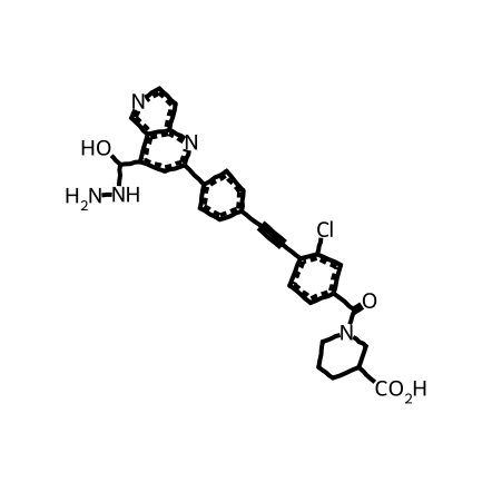 NNC(O)c1cc(-c2ccc(C#Cc3ccc(C(=O)N4CCCC(C(=O)O)C4)cc3Cl)cc2)nc2ccncc12